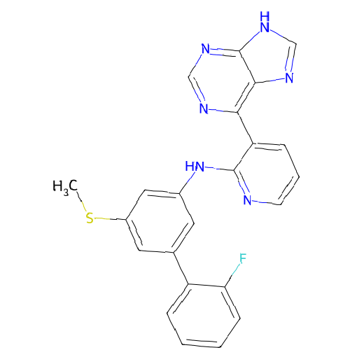 CSc1cc(Nc2ncccc2-c2ncnc3[nH]cnc23)cc(-c2ccccc2F)c1